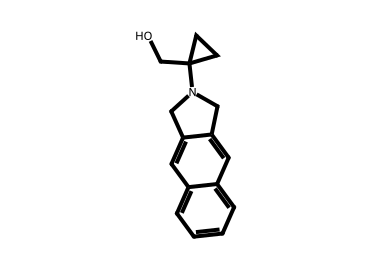 OCC1(N2Cc3cc4ccccc4cc3C2)CC1